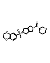 O=C([C@H]1CCCOC1)N1CC2=C(C1)CN(S(=O)(=O)c1cnc3c(c1)OCCO3)C2